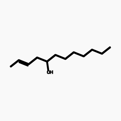 CC=CCC(O)CCCCCCC